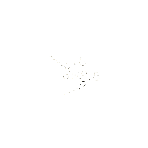 CCCCCCCC(=O)c1ccc(OC(=O)CC23CC4CC(CC(C4)C2)C3)c(C(=O)c2ccccc2C(=O)OOC(=O)c2ccccc2C(=O)c2cc(C(=O)CCCCCCC)ccc2OC(=O)CC23CC4CC(CC(C4)C2)C3)c1